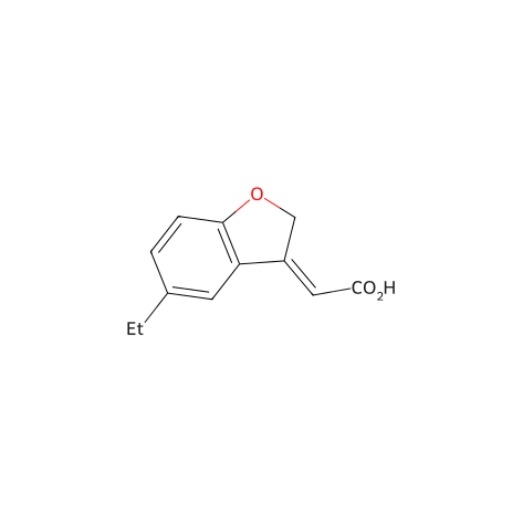 CCc1ccc2c(c1)C(=CC(=O)O)CO2